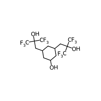 OC1CC(CC(O)(C(F)(F)F)C(F)(F)F)CC(CC(O)(C(F)(F)F)C(F)(F)F)C1